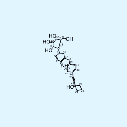 Nc1ccc([C@@H]2O[C@H](CO)[C@@H](O)C(O)[C@H]2O)cc1Cc1ccc(C#CC2(O)CCC2)cc1